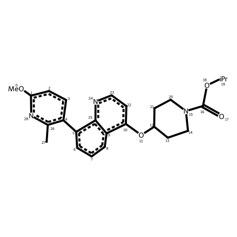 COc1ccc(-c2cccc3c(OC4CCN(C(=O)OC(C)C)CC4)ccnc23)c(C)n1